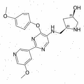 COc1ccc(Oc2nc(-c3cncc(OC)c3)ncc2NC[C@H]2C[C@@H](O)CN2)cc1